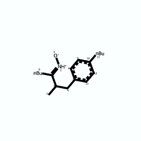 CCCCC(=[NH+][O-])C(C)Cc1ccc(CCCC)cc1